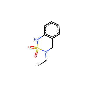 CC(C)CN1Cc2ccccc2NS1(=O)=O